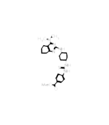 COC(=O)c1ccc(NC(=S)N[C@H]2CC[C@@H](Nc3nc4c(c(N(C)C)n3)CCCC4)CC2)cc1